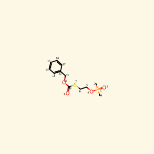 CP(C)(=O)OCCSC(=O)OCc1ccccc1